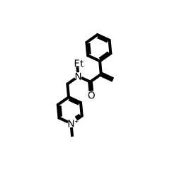 C=C(C(=O)N(CC)Cc1cc[n+](C)cc1)c1ccccc1